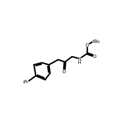 CC(C)c1ccc(CC(=O)CNC(=O)OC(C)(C)C)cc1